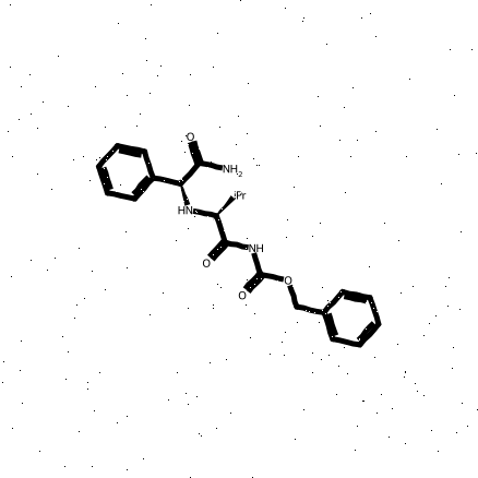 CC(C)[C@H](N[C@H](C(N)=O)c1ccccc1)C(=O)NC(=O)OCc1ccccc1